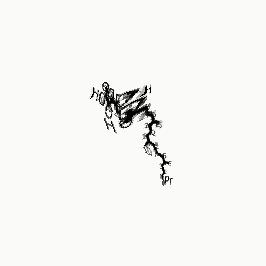 CC(C)CCCC(C)CCCC(C)CCCC(C)CCCC(=O)OC[C@H](O)[C@H]1OC(=O)C(O)=C1O